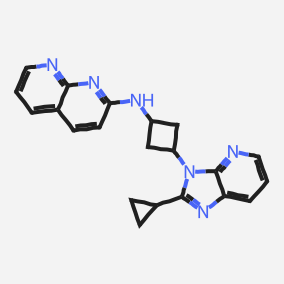 c1cnc2nc(NC3CC(n4c(C5CC5)nc5cccnc54)C3)ccc2c1